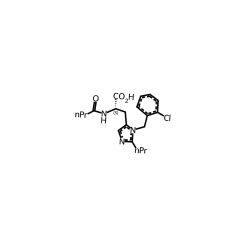 CCCC(=O)N[C@@H](Cc1cnc(CCC)n1Cc1ccccc1Cl)C(=O)O